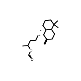 C=C1CCC2C(C)(C)CCC[C@]2(C)[C@H]1CCCC(C)OC=O